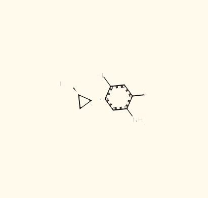 C[C@@H]1C[C@H]1c1cc(N)c(F)cc1Cl